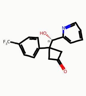 O=C1CC(c2ccc(C(F)(F)F)cc2)([C@H](O)c2ccccn2)C1